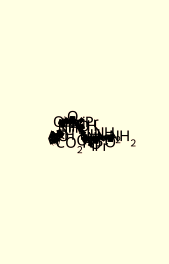 CC(C)C[C@H](NC(=O)CNC(=O)[C@H](CC(C)C)NC(=O)[C@@H](N)CCC(N)=O)C(=O)N[C@@H](C)C(=O)NCC(=O)N1CCC[C@H]1C(=O)O